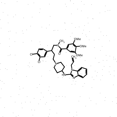 C=CCn1c(NC2CCN(CCC(CN(C)C(=O)c3cc(OC)c(OC)c(OC)c3)c3ccc(Cl)c(Cl)c3)CC2)nc2ccccc21